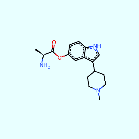 C[C@H](N)C(=O)Oc1ccc2[nH]cc(C3CCN(C)CC3)c2c1